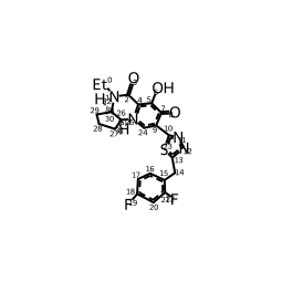 CCN1C(=O)c2c(O)c(=O)c(-c3nnc(Cc4ccc(F)cc4F)s3)cn2[C@H]2CCC[C@H]21